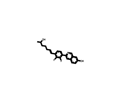 CC(O)CCCC=Cc1ccc(-c2cc3ccc(O)cc3cn2)c(F)c1F